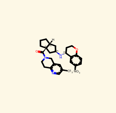 O=C(N1CCc2ncc(C(F)(F)F)cc2C1)[C@@]12CCC[C@@H]1C[C@@H](N[C@@H]1CCOc3ccc([N+](=O)[O-])cc31)C2